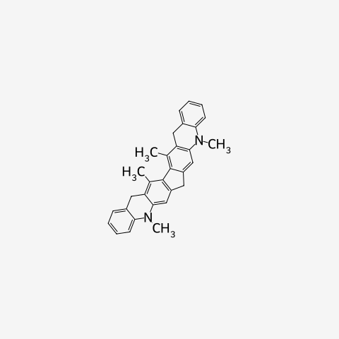 Cc1c2c(cc3c1-c1c(cc4c(c1C)Cc1ccccc1N4C)C3)N(C)c1ccccc1C2